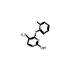 COc1ccc([N+](=O)[O-])c(Sc2ccccc2C)n1